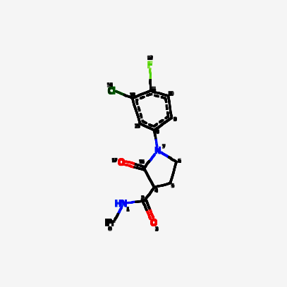 CC(C)NC(=O)C1CCN(c2ccc(F)c(Cl)c2)C1=O